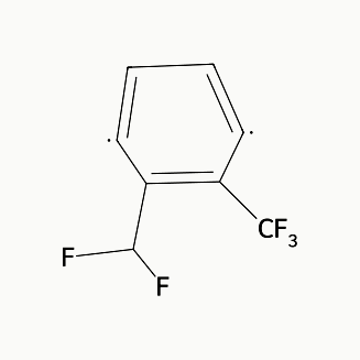 FC(F)c1[c]cc[c]c1C(F)(F)F